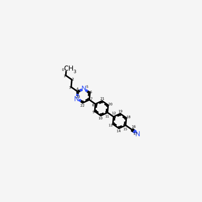 CCCCc1ncc(-c2ccc(-c3ccc(C#N)cc3)cc2)cn1